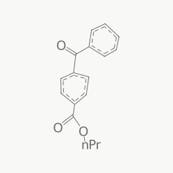 CCCOC(=O)c1ccc(C(=O)c2ccccc2)cc1